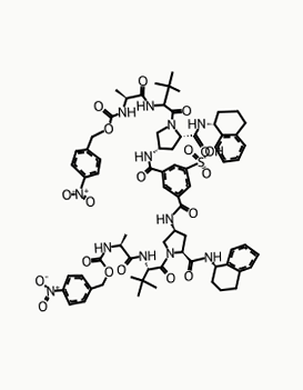 C[C@H](NC(=O)OCc1ccc([N+](=O)[O-])cc1)C(=O)NC(C(=O)N1C[C@@H](NC(=O)c2cc(C(=O)N[C@H]3C[C@@H](C(=O)N[C@@H]4CCCc5ccccc54)N(C(=O)[C@@H](NC(=O)[C@H](C)NC(=O)OCc4ccc([N+](=O)[O-])cc4)C(C)(C)C)C3)cc(S(=O)(=O)O)c2)C[C@H]1C(=O)N[C@@H]1CCCc2ccccc21)C(C)(C)C